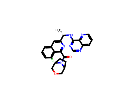 C[C@H](Nc1ncnc2cccnc12)c1cc2cccc(Cl)c2c(C(=O)N2C3CCC2COC3)n1